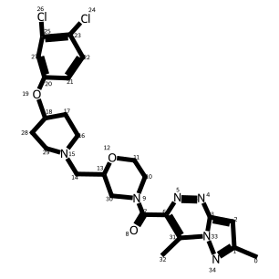 Cc1cc2nnc(C(=O)N3CCOC(CN4CCC(Oc5ccc(Cl)c(Cl)c5)CC4)C3)c(C)n2n1